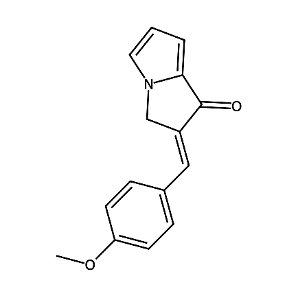 COc1ccc(C=C2Cn3cccc3C2=O)cc1